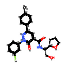 O=C(N[C@@H](CO)[C@@H]1CCCO1)c1cc(-c2ccc(C(F)(F)F)cc2)nn(-c2cccc(F)c2)c1=O